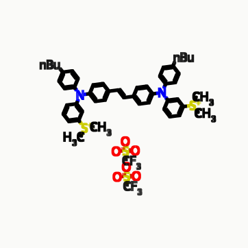 CCCCc1ccc(N(c2ccc(C=Cc3ccc(N(c4ccc(CCCC)cc4)c4cccc([S+](C)C)c4)cc3)cc2)c2cccc([S+](C)C)c2)cc1.O=S(=O)([O-])C(F)(F)F.O=S(=O)([O-])C(F)(F)F